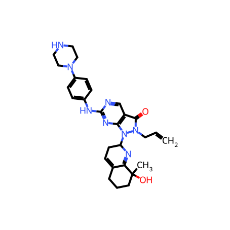 C=CCn1c(=O)c2cnc(Nc3ccc(N4CCNCC4)cc3)nc2n1C1CC=C2CCCC(C)(O)C2=N1